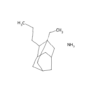 CCCC1C2CC3CC(C2)CC1(CC)C3.N